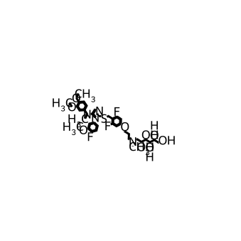 COc1cc(-n2c(N(C)c3ccc(OC)c(OC)c3)cnc2SCc2c(F)cc(OCCCN(C)CC(O)[C@@H](O)C(O)[C@H](O)CO)cc2F)ccc1F